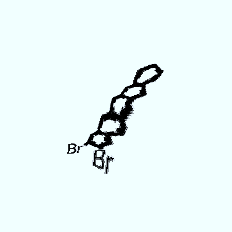 Brc1cc2cc3cc4cc5ccccc5cc4cc3cc2cc1Br